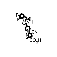 Cc1nc(N2CCC(C(=O)NS(=O)(=O)Cc3ccc(F)c(F)c3)CC2)c(C#N)cc1C(=O)O